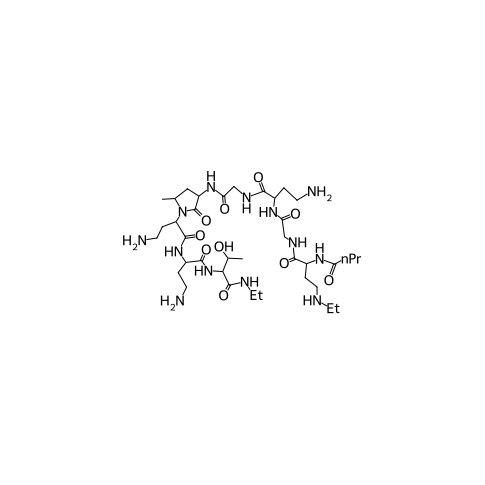 CCCC(=O)NC(CCNCC)C(=O)NCC(=O)NC(CCN)C(=O)NCC(=O)NC1CC(C)N(C(CCN)C(=O)NC(CCN)C(=O)NC(C(=O)NCC)C(C)O)C1=O